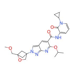 COCC12CC(n3cc4cc(C(=O)Nc5cccn(C6CC6)c5=O)c(OC(C)C)nc4n3)(CO1)C2